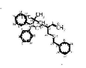 C=CC(CO[Si](c1ccccc1)(c1ccccc1)C(C)(C)C)CSCc1ccccc1